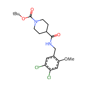 COc1cc(Cl)c(Cl)cc1CNC(=O)C1CCN(C(=O)OC(C)(C)C)CC1